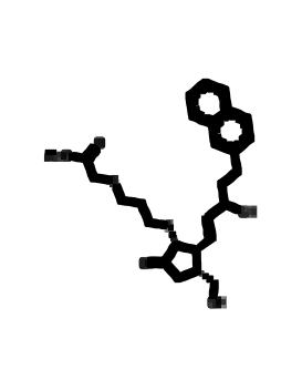 COC(=O)CSCCCS[C@H]1C(=O)C[C@@H](CO)[C@@H]1/C=C/C(O)CCc1ccc2ccccc2c1